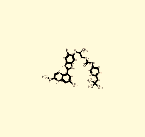 COc1cnc2c(-c3nc4cc(F)c(O[C@@H](C)COC(=O)Nc5cnc(CC(C)(C)O)nc5)cc4s3)cc(C)cc2n1